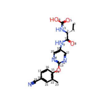 CC[C@@H](NC(=O)O)C(=O)Nc1cnc(Oc2ccc(C#N)cc2C)nc1